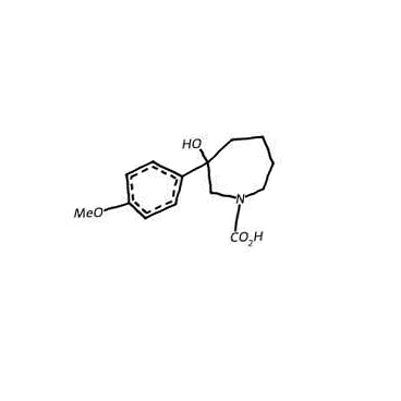 COc1ccc(C2(O)CCCCN(C(=O)O)C2)cc1